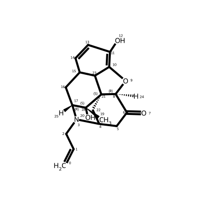 C=CCN1C2CC(=O)[C@@H]3OC4=C(O)C=CC5C[C@@H]1[C@@](C)(O)[C@@]3(C2)C45